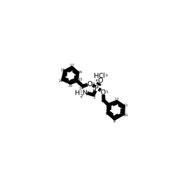 Cl.NCP(=O)(OCc1ccccc1)OCc1ccccc1